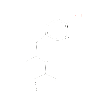 CCC(C)CC(C)C(C)c1ccc(O)cc1